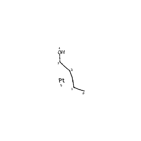 CCCCO.[Pt]